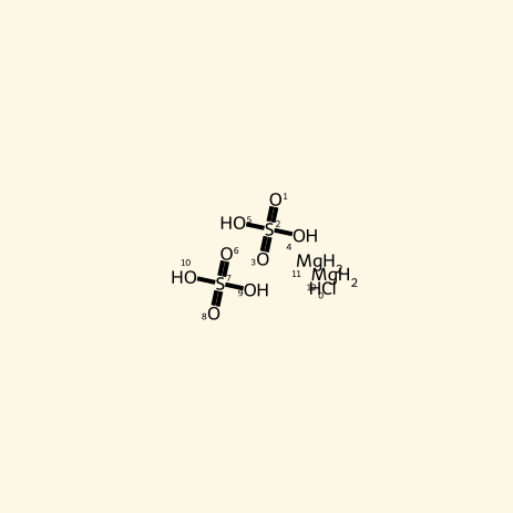 Cl.O=S(=O)(O)O.O=S(=O)(O)O.[MgH2].[MgH2]